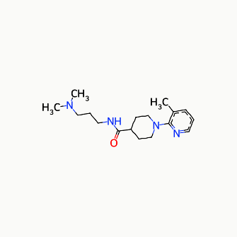 Cc1cccnc1N1CCC(C(=O)NCCCN(C)C)CC1